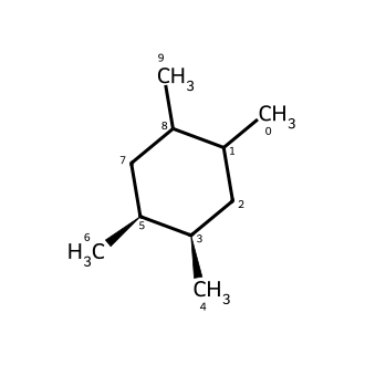 CC1C[C@@H](C)[C@@H](C)CC1C